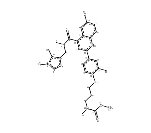 CCn1ncc(CN(C)C(=O)c2nc(-c3ccc(OCCCN(C)C(=O)OC(C)(C)C)c(C)c3)nc3ccc(Cl)cc23)c1C